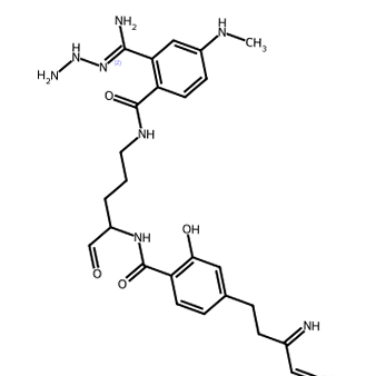 CNc1ccc(C(=O)NCCCC(C=O)NC(=O)c2ccc(CCC(=N)C=N)cc2O)c(/C(N)=N/NN)c1